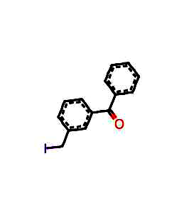 O=C(c1ccccc1)c1cccc(CI)c1